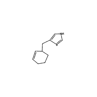 b1c[nH]cc1CC1C=CCCC1